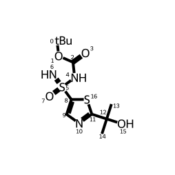 CC(C)(C)OC(=O)NS(=N)(=O)c1cnc(C(C)(C)O)s1